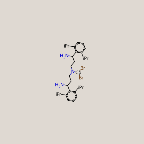 CC(C)c1cccc(C(C)C)c1C(N)CC[N](CCC(N)c1c(C(C)C)cccc1C(C)C)[Co]([Br])[Br]